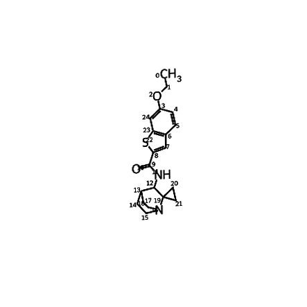 CCOc1ccc2cc(C(=O)NC3C4CCN(CC4)C34CC4)sc2c1